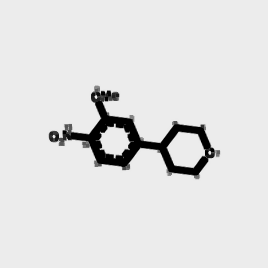 COc1cc(C2CCOCC2)ccc1[N+](=O)[O-]